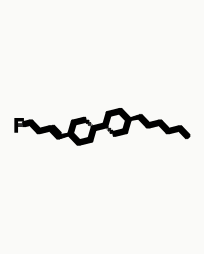 CCCCCC[C@H]1CC[C@H]([C@H]2CC[C@H](C=CCCF)CC2)CC1